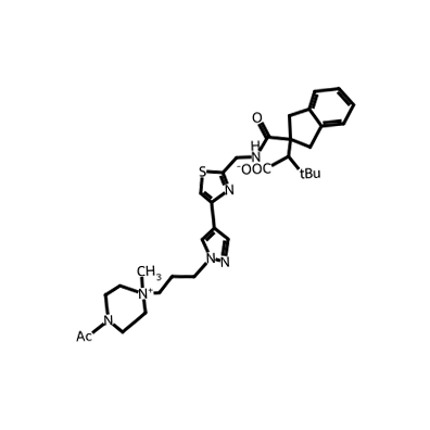 CC(=O)N1CC[N+](C)(CCCn2cc(-c3csc(CNC(=O)C4(C(C(=O)[O-])C(C)(C)C)Cc5ccccc5C4)n3)cn2)CC1